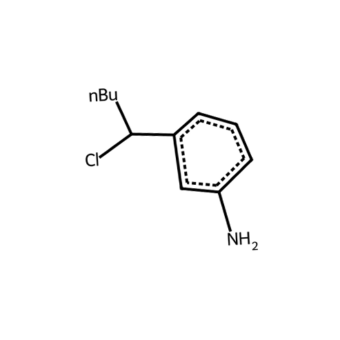 CCCCC(Cl)c1cccc(N)c1